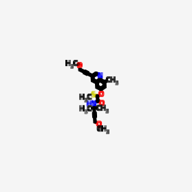 COCC#Cc1cnc2c(C)cc(OC(SC)C(=O)NC(C)(C)C#CCOC)cc2c1